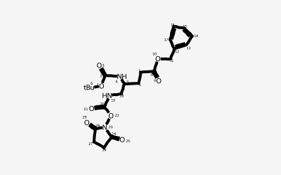 CC(C)(C)OC(=O)NC(CCC(=O)OCc1ccccc1)CNC(=O)ON1C(=O)CCC1=O